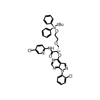 CC(C)(C)[Si](OCCOC[C@H](Oc1ncnc2c1cnn2-c1ccccc1Cl)C(=O)Nc1ccc(Cl)cn1)(c1ccccc1)c1ccccc1